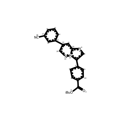 CC(C)COC(=O)c1ccc(-c2cnc3cc(-c4cccc(C#N)c4)cnn23)cc1